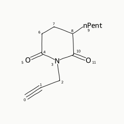 C#CCN1C(=O)CCC(CCCCC)C1=O